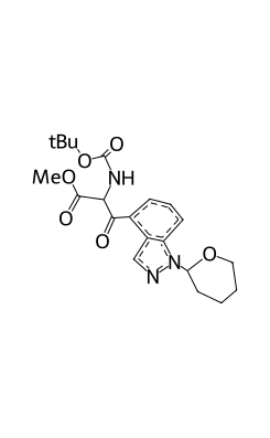 COC(=O)C(NC(=O)OC(C)(C)C)C(=O)c1cccc2c1cnn2C1CCCCO1